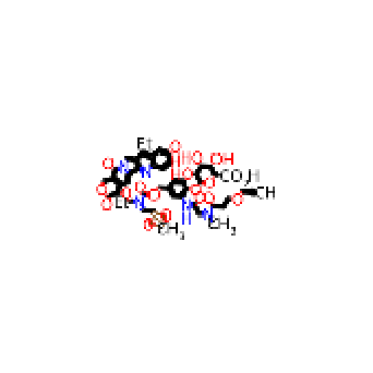 C#CCOCCC(=O)N(C)CC(=O)Nc1cc(COC(=O)N(CCS(C)(=O)=O)CO[C@]2(CC)C(=O)OCc3c2cc2n(c3=O)Cc3c-2nc2ccc(O)cc2c3CC)ccc1O[C@@H]1O[C@H](C(=O)O)[C@@H](O)[C@H](O)[C@H]1O